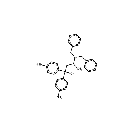 CC(CC(O)(c1ccc(N)cc1)c1ccc(N)cc1)N(Cc1ccccc1)Cc1ccccc1